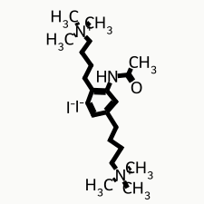 CC(=O)Nc1cc(CCCC[N+](C)(C)C)ccc1CCCC[N+](C)(C)C.[I-].[I-]